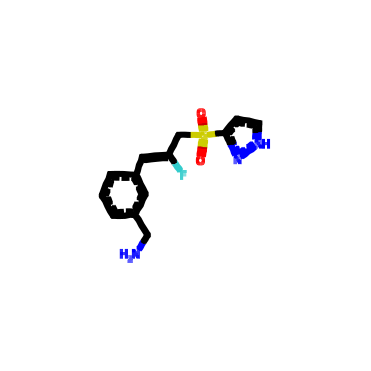 NCc1cccc(C=C(F)CS(=O)(=O)c2cc[nH]n2)c1